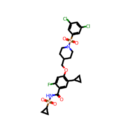 O=C(NS(=O)(=O)C1CC1)c1cc(C2CC2)c(OCC2CCN(S(=O)(=O)c3cc(Cl)cc(Cl)c3)CC2)cc1F